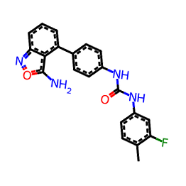 Cc1ccc(NC(=O)Nc2ccc(-c3cccc4noc(N)c34)cc2)cc1F